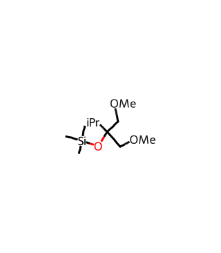 COCC(COC)(O[Si](C)(C)C)C(C)C